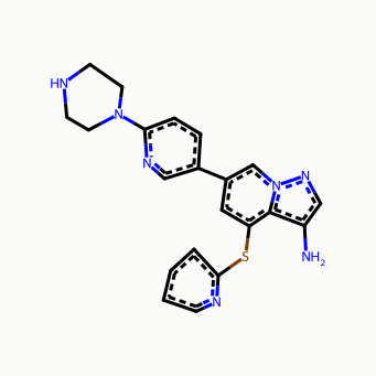 Nc1cnn2cc(-c3ccc(N4CCNCC4)nc3)cc(Sc3ccccn3)c12